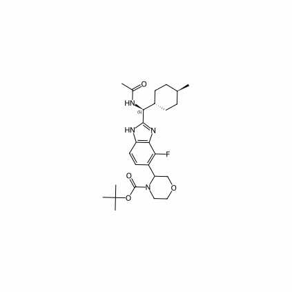 CC(=O)N[C@H](c1nc2c(F)c(C3COCCN3C(=O)OC(C)(C)C)ccc2[nH]1)[C@H]1CC[C@H](C)CC1